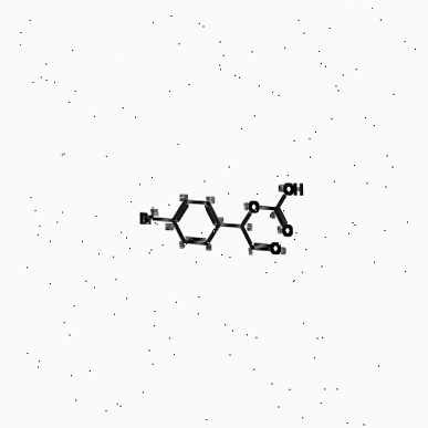 O=CC(OC(=O)O)c1ccc(Br)cc1